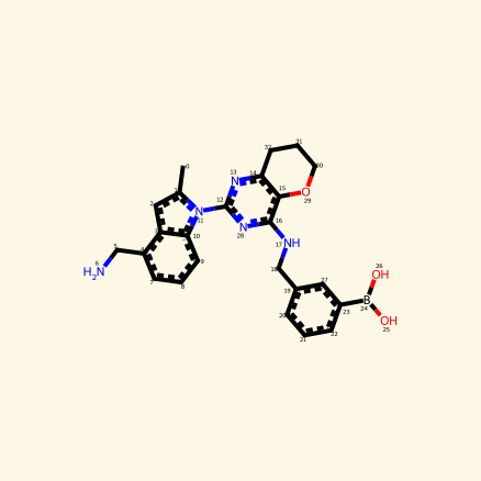 Cc1cc2c(CN)cccc2n1-c1nc2c(c(NCc3cccc(B(O)O)c3)n1)OCCC2